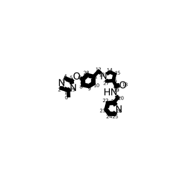 Cc1cncc(Oc2cccc(CN3CCC(C(=O)NCc4ccccn4)C3)c2)n1